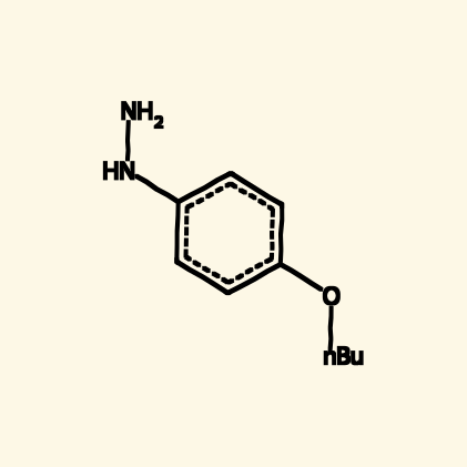 CCCCOc1ccc(NN)cc1